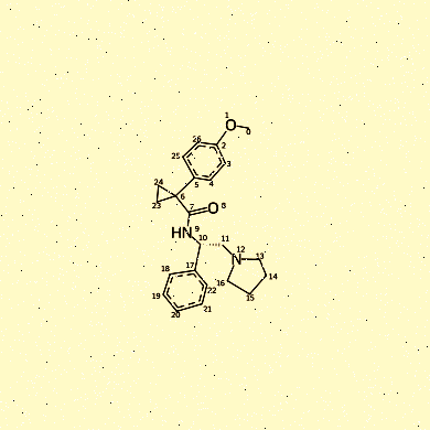 COc1ccc(C2(C(=O)N[C@H](CN3CCCC3)c3ccccc3)CC2)cc1